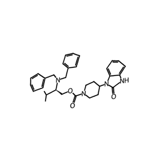 CC(C)[C@H](COC(=O)N1CCC(n2c(=O)[nH]c3ccccc32)CC1)N(Cc1ccccc1)Cc1ccccc1